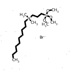 CCCCCCCCCC[N+](C)(C)CCC[Si](OC)(OC)OC.[Br-]